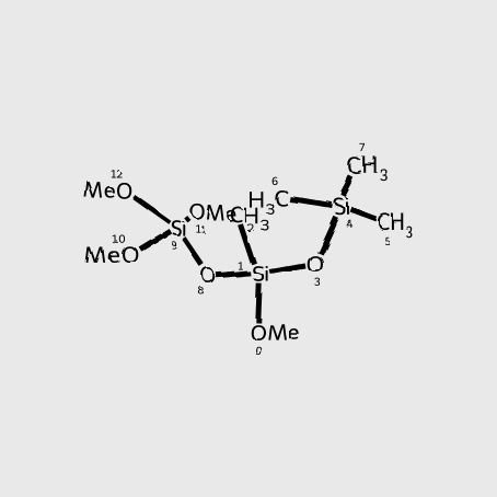 CO[Si](C)(O[Si](C)(C)C)O[Si](OC)(OC)OC